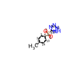 Cc1ccc(S(=O)(=O)c2nnn[nH]2)cc1